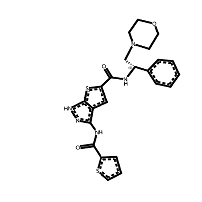 O=C(Nc1n[nH]c2sc(C(=O)N[C@H](CN3CCOCC3)c3ccccc3)cc12)c1cccs1